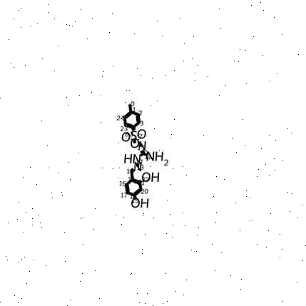 Cc1ccc(S(=O)(=O)ON=C(N)NN=Cc2ccc(O)cc2O)cc1